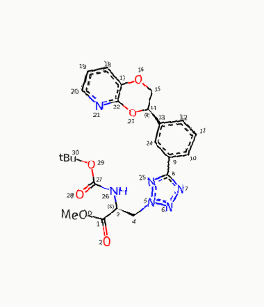 COC(=O)[C@H](Cn1nnc(-c2cccc([C@@H]3COc4cccnc4O3)c2)n1)NC(=O)OC(C)(C)C